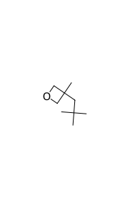 CC(C)(C)CC1(C)COC1